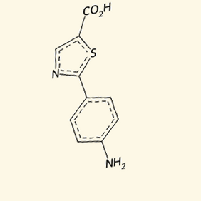 Nc1ccc(-c2ncc(C(=O)O)s2)cc1